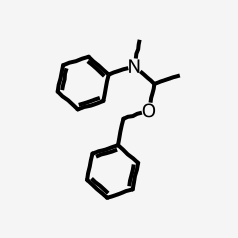 CC(OCc1ccccc1)N(C)c1ccccc1